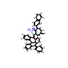 C=C1\C=C/C(/C=C(\CC)c2ccccc2-c2c3ccccc3c(-c3ccccc3)c3ccccc23)=C(/N)C(c2ccc3c(c2)C=CCC3)/C=C\1